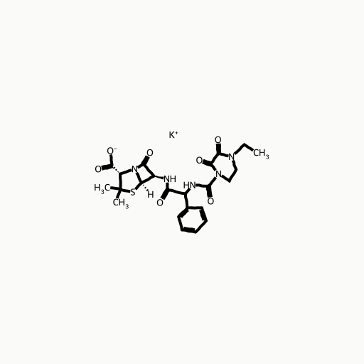 CCN1CCN(C(=O)NC(C(=O)N[C@@H]2C(=O)N3[C@@H]2SC(C)(C)[C@@H]3C(=O)[O-])c2ccccc2)C(=O)C1=O.[K+]